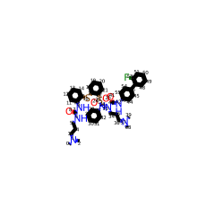 CN(C)CCCNC(=O)Nc1ccccc1Sc1ccccc1S(=O)(=O)N(c1ccccc1)N(CCCN(C)C)C(=O)Nc1ccc(-c2ccccc2F)cc1